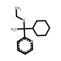 CCOC(C)(c1ccccn1)C1CCCCC1